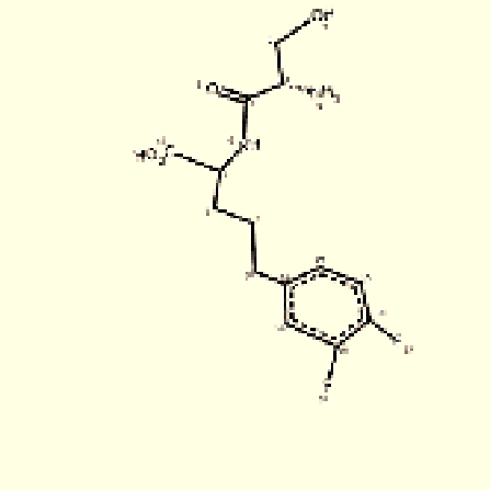 N[C@@H](CO)C(=O)NC(CCCc1ccc(F)c(F)c1)C(=O)O